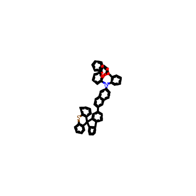 c1ccc2c(c1)Sc1ccccc1C21c2ccccc2-c2ccc(-c3ccc4cc(N(c5ccccc5-c5cc6ccccc6o5)c5cccc6ccccc56)ccc4c3)cc21